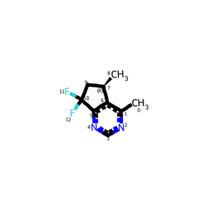 Cc1ncnc2c1[C@H](C)CC2(F)F